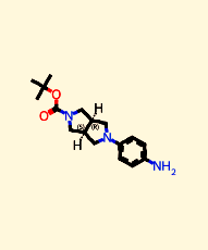 CC(C)(C)OC(=O)N1C[C@@H]2CN(c3ccc(N)cc3)C[C@@H]2C1